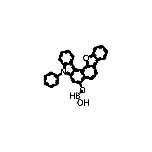 OBOc1cc2c(c3ccccc3n2-c2ccccc2)c2c1ccc1c3ccccc3oc12